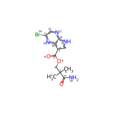 CC(C)(COC(=O)c1c[nH]c2ncc(Br)nc12)C(N)=O